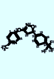 Cc1ccc(OC2=NO[C@@H](c3ccc(C(F)(F)F)cc3)C2)cn1